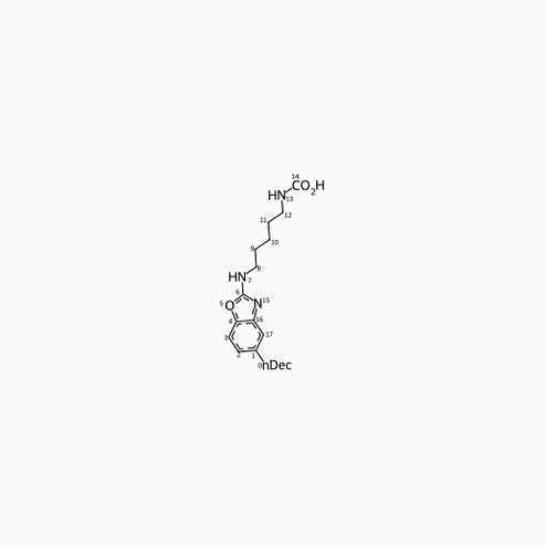 CCCCCCCCCCc1ccc2oc(NCCCCCNC(=O)O)nc2c1